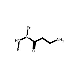 CCNN(CC)C(=O)CCN